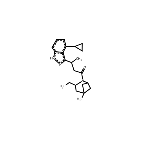 CCC1CC2(C)CC(C2)N1C(=O)CC(C)c1n[nH]c2cccc(C3CC3)c12